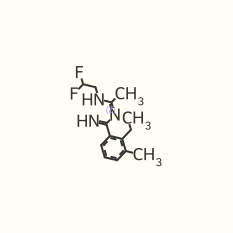 CCc1c(C)cccc1C(=N)/N=C(/C)NCC(F)F